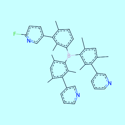 Cc1cc(C)c(-c2cccnc2)c(C)c1B(c1ccc(C)c(-c2ccc(F)nc2)c1C)c1c(C)cc(C)c(-c2cccnc2)c1C